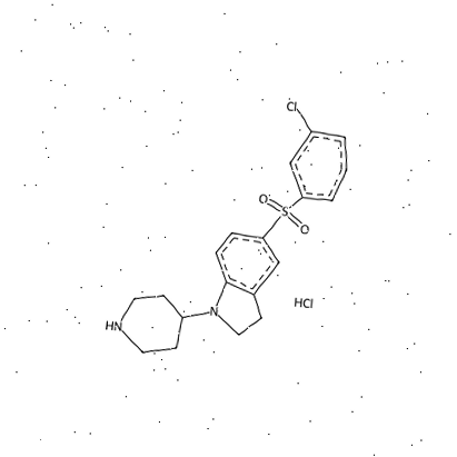 Cl.O=S(=O)(c1cccc(Cl)c1)c1ccc2c(c1)CCN2C1CCNCC1